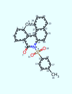 COc1cccc2c(=O)n(S(=O)(=O)c3ccc(C)cc3)c3ccc4ccccc4c3c12